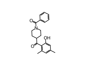 Cc1cc(C)c(C(=O)C2CCN(C(=O)c3ccccc3)CC2)c(O)c1